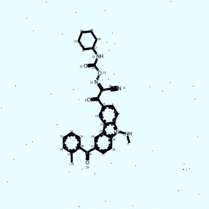 CNn1c2ccc(C(=O)/C(C#N)=N/OC(=O)NC3CCCCC3)cc2c2cc(C(=O)c3ccccc3C)ccc21